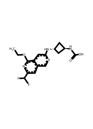 CCOc1nc(C(F)F)cc2cnc(N[C@H]3C[C@H](NC(=O)O)C3)cc12